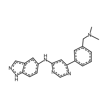 CN(C)Cc1cccc(-c2cc(Nc3ccc4[nH]ncc4c3)ncn2)c1